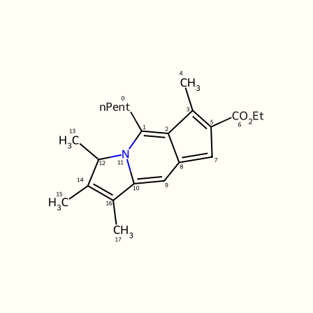 CCCCCc1c2c(C)c(C(=O)OCC)cc-2cc2n1C(C)C(C)=C2C